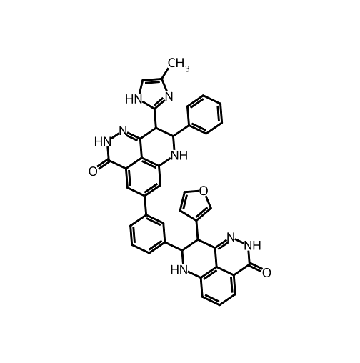 Cc1c[nH]c(C2c3n[nH]c(=O)c4cc(-c5cccc(C6Nc7cccc8c(=O)[nH]nc(c78)C6c6ccoc6)c5)cc(c34)NC2c2ccccc2)n1